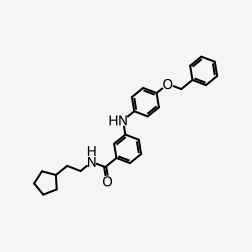 O=C(NCCC1CCCC1)c1cccc(Nc2ccc(OCc3ccccc3)cc2)c1